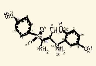 C/C(=C(/N)S(=O)(=O)c1ccc(C(C)(C)C)cc1)N(N)c1cc(O)ccc1O